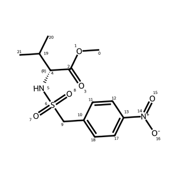 COC(=O)[C@H](NS(=O)(=O)Cc1ccc([N+](=O)[O-])cc1)C(C)C